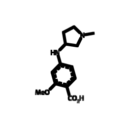 COc1cc(NC2CCN(C)C2)ccc1C(=O)O